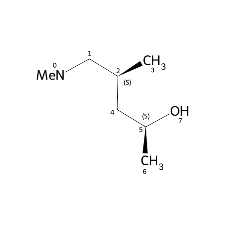 CNC[C@@H](C)C[C@H](C)O